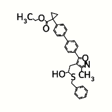 CCOC(=O)C1(c2ccc(-c3ccc(-c4onc(C)c4CC(O)SCc4ccccc4)cc3)cc2)CC1